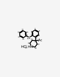 CC(=O)C1(c2ccccc2Sc2ccccc2)CCNCC1.Cl